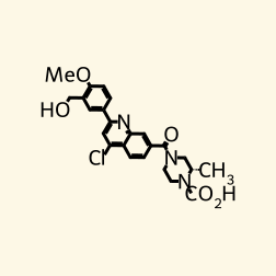 COc1ccc(-c2cc(Cl)c3ccc(C(=O)N4CCN(C(=O)O)[C@@H](C)C4)cc3n2)cc1CO